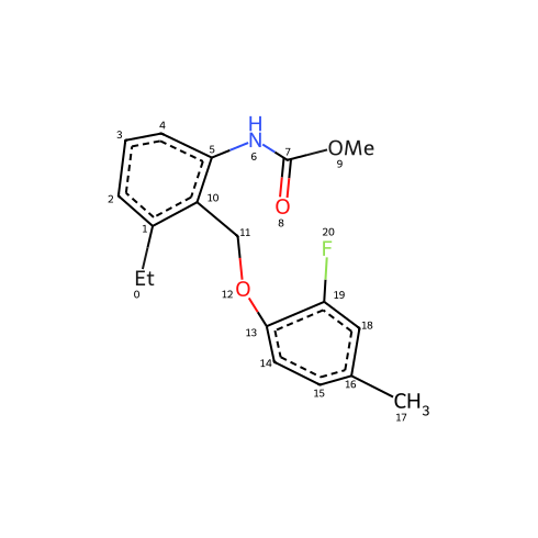 CCc1cccc(NC(=O)OC)c1COc1ccc(C)cc1F